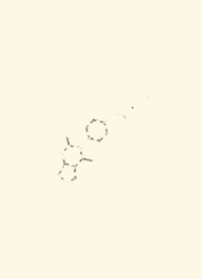 O=c1c2cscc2[nH]c(=S)n1-c1ccc(OCC(F)(F)F)cc1